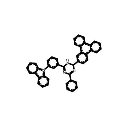 c1ccc(C2=NC(c3ccc4c5ccccc5c5ccccc5c4c3)NC(c3cccc(-n4c5ccccc5c5ccccc54)c3)=N2)cc1